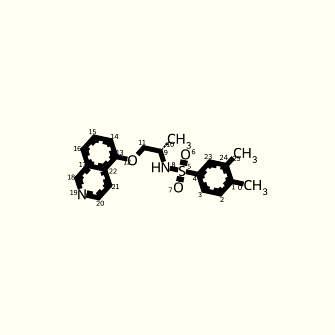 Cc1ccc(S(=O)(=O)N[C@@H](C)COc2cccc3cnccc23)cc1C